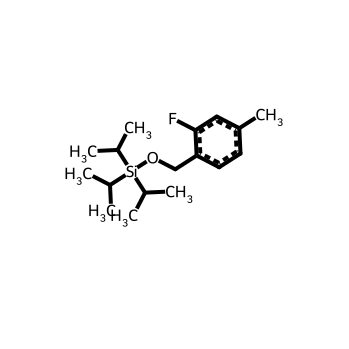 Cc1ccc(CO[Si](C(C)C)(C(C)C)C(C)C)c(F)c1